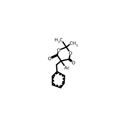 CC(=O)C1(Cc2ccccc2)C(=O)OC(C)(C)OC1=O